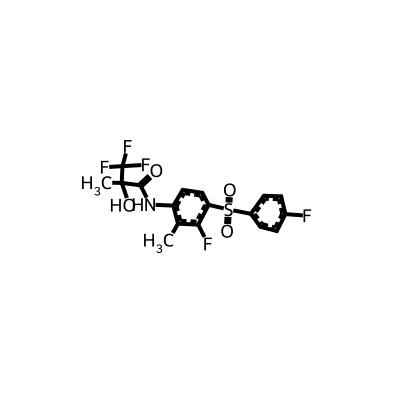 Cc1c(NC(=O)C(C)(O)C(F)(F)F)ccc(S(=O)(=O)c2ccc(F)cc2)c1F